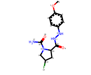 COc1ccc(NNC(=O)C2CC(F)CN2C(N)=O)cc1